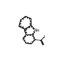 C=C(I)c1cccc2c1[nH]c1ccccc12